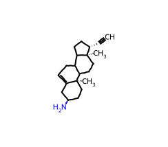 C#C[C@H]1CCC2C3CC=C4C[C@H](N)CC[C@]4(C)C3CC[C@@]21C